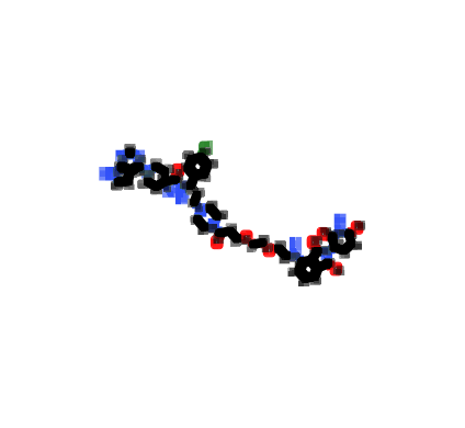 NC1(C(=O)N[C@@H](CCN2CCN(C(=O)CCOCCOCCNc3cccc4c3C(=O)N(C3CCC(=O)NC3=O)C4=O)CC2)c2ccc(Cl)cc2)CCN(c2ncnc3[nH]ccc23)CC1